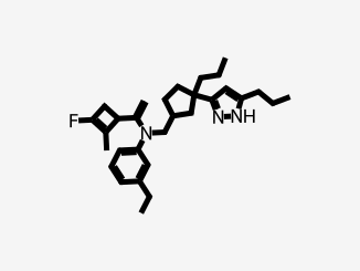 C=C(C1CC(F)=C1C)N(CC1CCC(CCC)(c2cc(CCC)[nH]n2)C1)c1cccc(CC)c1